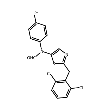 CC(C)c1ccc(N(C=O)c2cnc(Cc3c(Cl)cccc3Cl)s2)cc1